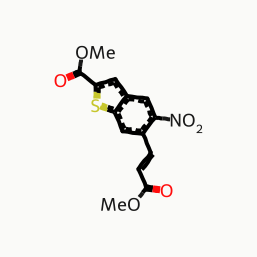 COC(=O)/C=C/c1cc2sc(C(=O)OC)cc2cc1[N+](=O)[O-]